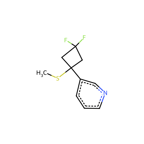 CSC1(c2cccnc2)CC(F)(F)C1